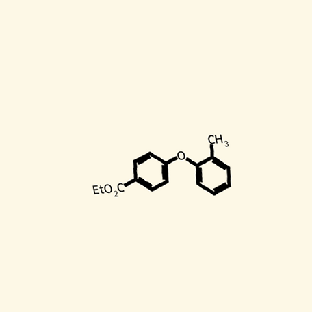 CCOC(=O)c1ccc(Oc2ccccc2C)cc1